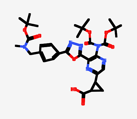 CN(Cc1ccc(-c2nnc(-c3nc(C4CC4C(=O)O)cnc3N(C(=O)OC(C)(C)C)C(=O)OC(C)(C)C)o2)cc1)C(=O)OC(C)(C)C